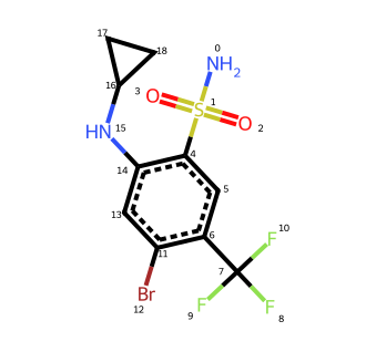 NS(=O)(=O)c1cc(C(F)(F)F)c(Br)cc1NC1CC1